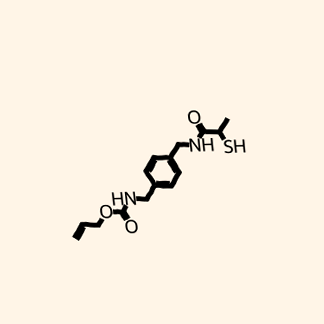 C=CCOC(=O)NCc1ccc(CNC(=O)C(C)S)cc1